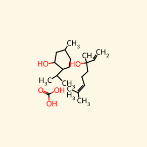 C=CC(C)(O)CCC=C(C)C.CC1CCC(C(C)C)C(O)C1.O=C(O)O